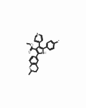 COC(=O)c1c(-c2ccc3c(c2)CCC(C)S3)[nH]c(-c2ccc(F)cc2)c1-c1ccncc1